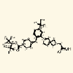 O=C(O)CN1CC2(CCN(c3cc(C(F)(F)F)ccc3CN3CCN(C(=O)OC(C(F)(F)F)C(F)(F)F)CC3)C2)C1